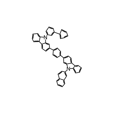 c1ccc(-c2cccc(-n3c4ccccc4c4ccc(-c5ccc(-c6ccc7c8ccccc8n(-c8ccc9ccccc9c8)c7c6)cc5)cc43)c2)cc1